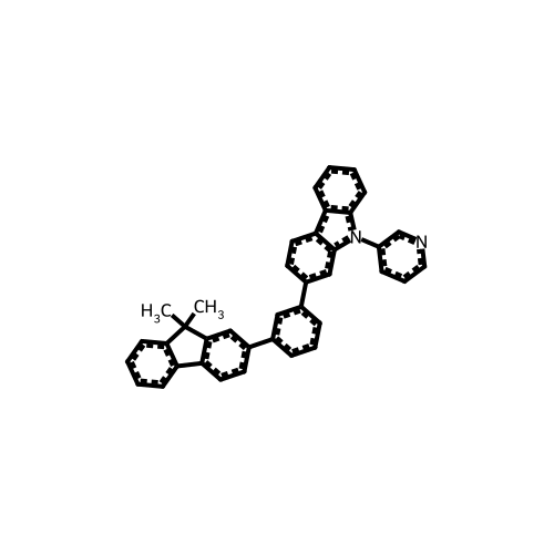 CC1(C)c2ccccc2-c2ccc(-c3cccc(-c4ccc5c6ccccc6n(-c6cccnc6)c5c4)c3)cc21